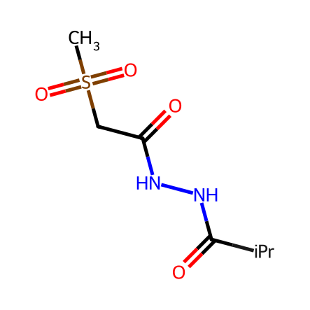 CC(C)C(=O)NNC(=O)CS(C)(=O)=O